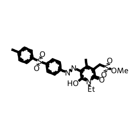 CCn1c(O)c(/N=N/c2ccc(S(=O)(=O)c3ccc(C)cc3)cc2)c(C)c(CS(=O)(=O)OC)c1=O